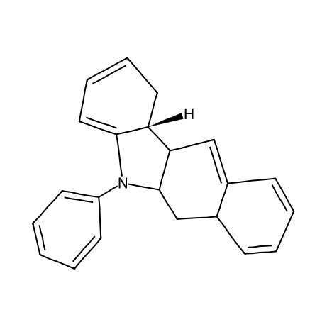 C1=CC[C@H]2C(=C1)N(c1ccccc1)C1CC3C=CC=CC3=CC12